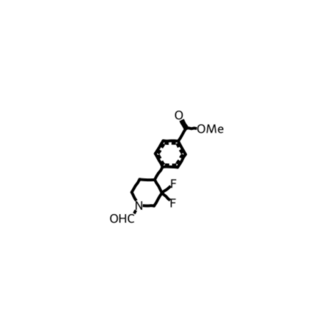 COC(=O)c1ccc(C2CCN(C=O)CC2(F)F)cc1